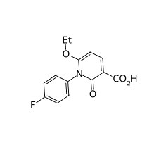 CCOc1ccc(C(=O)O)c(=O)n1-c1ccc(F)cc1